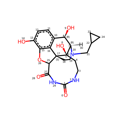 O=C1NCC[C@@]2(O)[C@H]3[C@H](O)c4ccc(O)c5c4[C@@]2(CCN3CC2CC2)C(O5)C(=O)N1